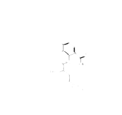 CCCC(C)COc1ccccc1C(=O)O